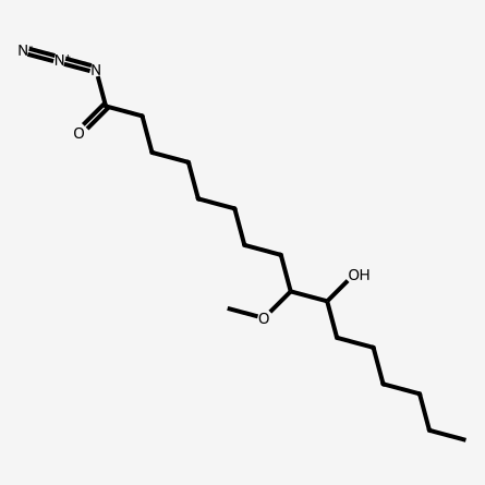 CCCCCCC(O)C(CCCCCCCC(=O)N=[N+]=[N-])OC